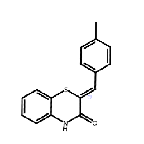 Cc1ccc(/C=C2\Sc3ccccc3NC2=O)cc1